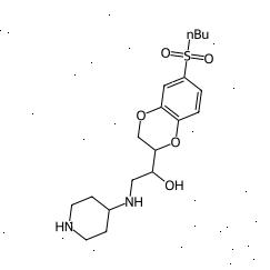 CCCCS(=O)(=O)c1ccc2c(c1)OCC(C(O)CNC1CCNCC1)O2